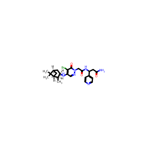 C[C@H]1[C@H]2C[C@H](C[C@H]1Nc1cnn(CC(=O)NC(CC(N)=O)c3ccncc3)c(=O)c1Br)C2(C)C